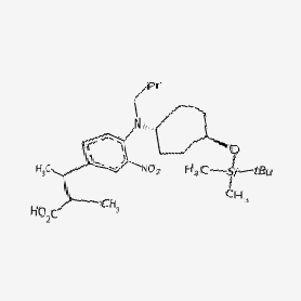 CC(C)CN(c1ccc(C(C)C(C)C(=O)O)cc1[N+](=O)[O-])[C@H]1CC[C@H](O[Si](C)(C)C(C)(C)C)CC1